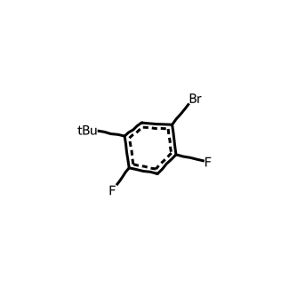 CC(C)(C)c1cc(Br)c(F)cc1F